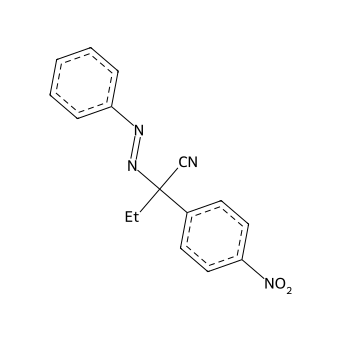 CCC(C#N)(N=Nc1ccccc1)c1ccc([N+](=O)[O-])cc1